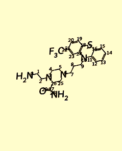 NCCN1CCN(CCCN2c3ccccc3Sc3ccc(C(F)(F)F)cc32)CC1C(N)=O